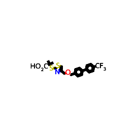 CC(C)(Sc1nc(COCc2ccc(-c3ccc(C(F)(F)F)cc3)cc2)cs1)C(=O)O